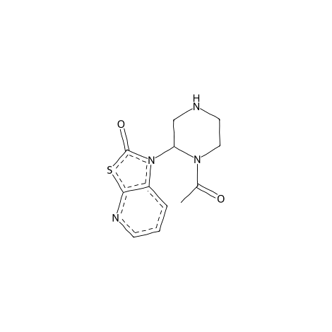 CC(=O)N1CCNCC1n1c(=O)sc2ncccc21